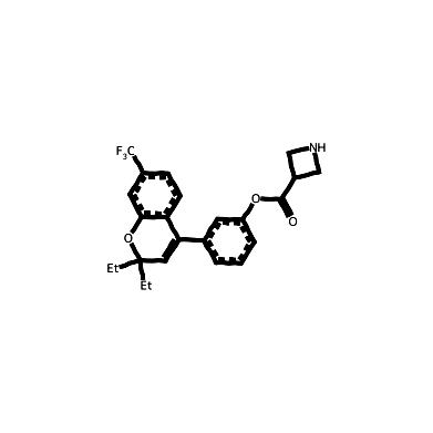 CCC1(CC)C=C(c2cccc(OC(=O)C3CNC3)c2)c2ccc(C(F)(F)F)cc2O1